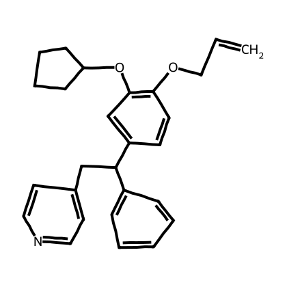 C=CCOc1ccc(C(Cc2ccncc2)c2ccccc2)cc1OC1CCCC1